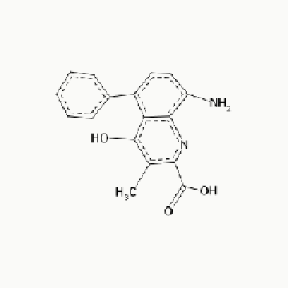 Cc1c(C(=O)O)nc2c(N)ccc(-c3ccccc3)c2c1O